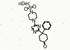 CCCCCCCCCCS(=O)(=O)N1CCN(c2nc(C3(c4ccccc4)CCC(=O)CC3)ns2)CC1